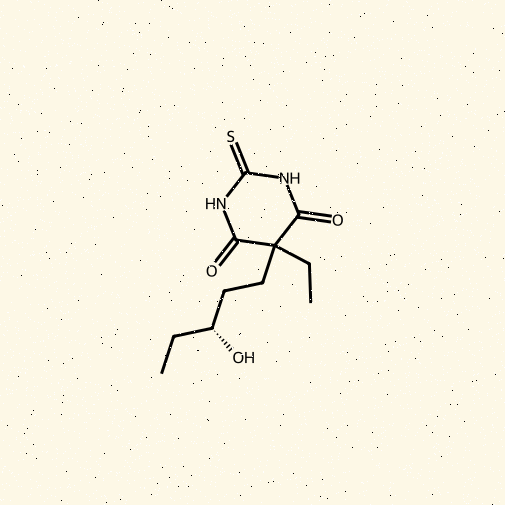 CC[C@@H](O)CCC1(CC)C(=O)NC(=S)NC1=O